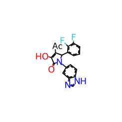 CC(=O)C1=C(O)C(=O)N(c2ccc3[nH]cnc3c2)C1c1cccc(F)c1F